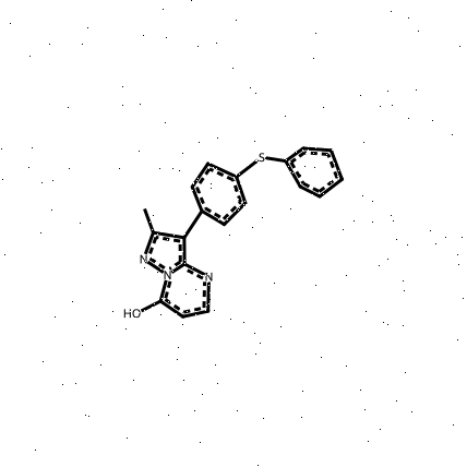 Cc1nn2c(O)ccnc2c1-c1ccc(Sc2ccccc2)cc1